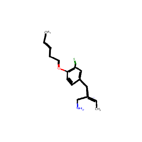 C/C=C(\CN)Cc1ccc(OCCCCC)c(F)c1